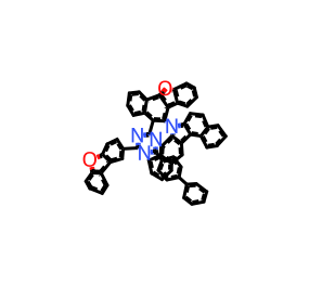 c1ccc(-c2ccc(-c3nc(-c4ccc5oc6ccccc6c5c4)nc(-c4c(-n5c6cc7ccccc7cc6c6c7ccccc7ccc65)c5c6ccccc6oc5c5ccccc45)n3)cc2)cc1